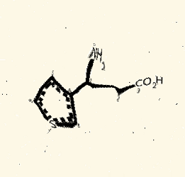 NC(CC(=O)O)c1ccsc1